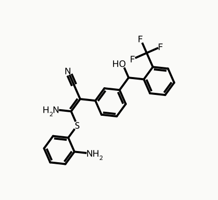 N#C/C(=C(\N)Sc1ccccc1N)c1cccc(C(O)c2ccccc2C(F)(F)F)c1